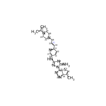 Cc1csc2c(-n3nc(Nc4ccc(/C=C/CN5CCN(C(C)C)CC5)nc4)nc3N)ncnc12